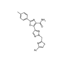 CC(=O)c1csc(Cn2ncc(-c3oc(-c4ccc(C)cc4)nc3C(N)=O)n2)n1